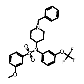 COc1cccc(S(=O)(=O)N(c2cccc(OC(F)(F)F)c2)C2CCN(Cc3ccccc3)CC2)c1